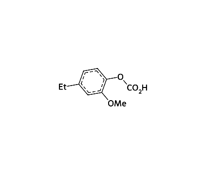 CCc1ccc(OC(=O)O)c(OC)c1